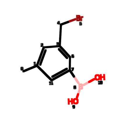 Cc1cc(CBr)cc(B(O)O)c1